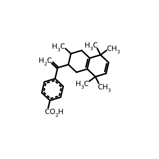 C=C(c1ccc(C(=O)O)cc1)C1CC2=C(CC1C)C(C)(C)C=CC2(C)C